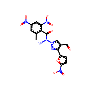 Cc1cc([N+](=O)[O-])cc([N+](=O)[O-])c1C(=O)N(N)n1cc(C=O)c(-c2ccc([N+](=O)[O-])o2)n1